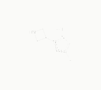 Cl.Fc1cnn(C2CNC2)c1